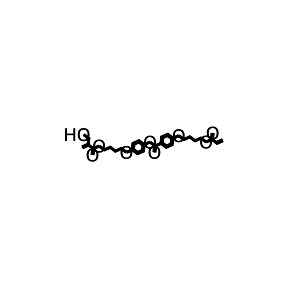 C=CC(=O)OCCCCOc1ccc(C(=O)Oc2ccc(OCCCCOC(=O)C(=C)CO)cc2)cc1